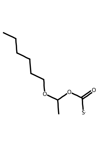 CCCCCCOC(C)OC(=O)[S]